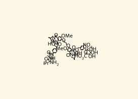 C=C1C[C@H]2[C@H](O)N(C(=O)OCc3ccc(NC(=O)C(C)NC(=O)C(N)C(C)C)cc3)c3cc(OCCCOc4cc5c(cc4OC)C(=O)N4CC(=C)C[C@H]4[C@H](O)N5C(=O)OCc4ccc(O[C@@H]5O[C@H](C(=O)O)[C@@H](O)[C@H](O)[C@H]5O)c([N+](=O)[O-])c4)c(OC)cc3C(=O)N2C1